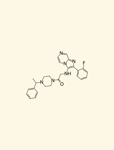 CC(c1ccccc1)N1CCN(C(=O)CNc2c(-c3ccccc3F)nc3cnccn23)CC1